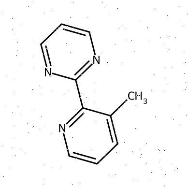 Cc1cccnc1-c1ncccn1